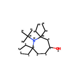 CCC1(CC)CCC(O)CC(CC)(CC)N1C(C)(C)C